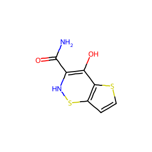 NC(=O)C1=C(O)c2sccc2SN1